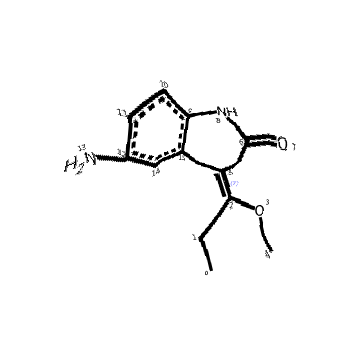 CC/C(OC)=C1/C(=O)Nc2ccc(N)cc21